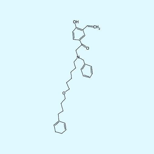 C=Cc1cc(C(=O)CN(CCCCCCOCCCCC2=CCCC=C2)Cc2ccccc2)ccc1O